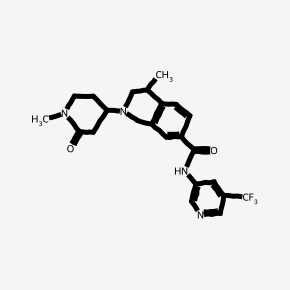 CC1CN(C2CCN(C)C(=O)C2)Cc2cc(C(=O)Nc3cncc(C(F)(F)F)c3)ccc21